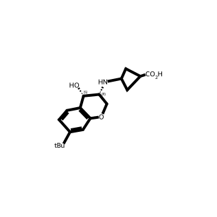 CC(C)(C)c1ccc2c(c1)OC[C@@H](NC1CC(C(=O)O)C1)[C@H]2O